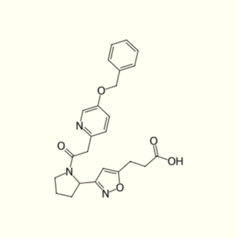 O=C(O)CCc1cc(C2CCCN2C(=O)Cc2ccc(OCc3ccccc3)cn2)no1